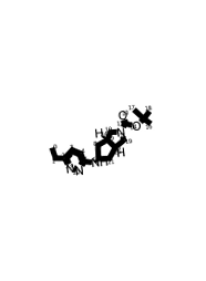 CCc1ccc(N[C@H]2C[C@@H]3CN(C(=O)OC(C)(C)C)C[C@@H]3C2)nn1